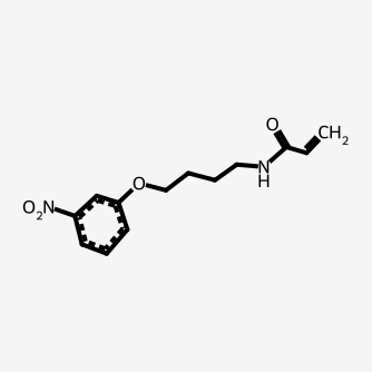 C=CC(=O)NCCCCOc1cccc([N+](=O)[O-])c1